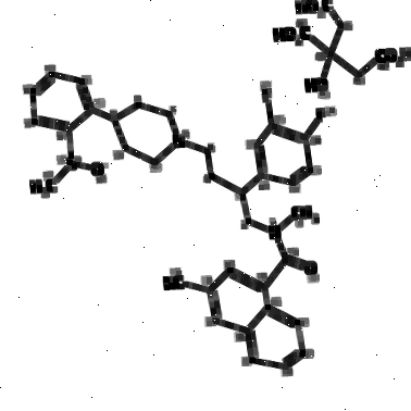 CN(CC(CCN1CCC(c2ccccc2[S+](C)[O-])CC1)c1ccc(F)c(F)c1)C(=O)c1cc(C#N)cc2ccccc12.O=C(O)CC(O)(CC(=O)O)C(=O)O